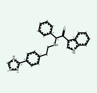 O=C(c1c[nH]c2ccccc12)C(NCCc1ccc(-c2nnc[nH]2)cc1)c1ccccc1